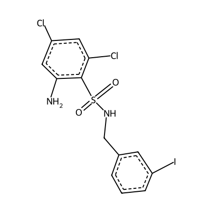 Nc1cc(Cl)cc(Cl)c1S(=O)(=O)NCc1cccc(I)c1